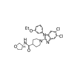 CCOc1cccc(-n2c(N3CCC(C(=O)N[C@@H]4CCOC4)CC3)nc3cc(Cl)c(Cl)cc32)c1